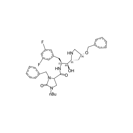 CCCCN1CC(C(=O)N[C@@H](Cc2cc(F)cc(F)c2)[C@H](O)[C@H]2C[C@@H](OCc3ccccc3)CN2)N(Cc2ccccc2)C1=O